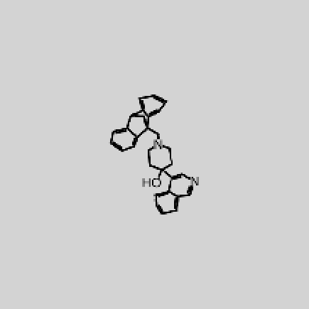 OC1(c2cncc3ccccc23)CCN(CC23CC(c4ccccc42)c2ccccc23)CC1